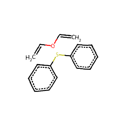 C=COC=C.c1ccc(Sc2ccccc2)cc1